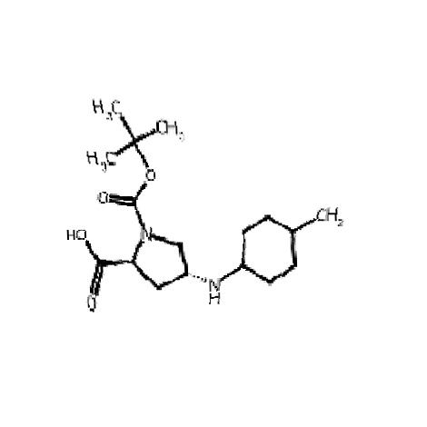 CC1CCC(N[C@@H]2C[C@@H](C(=O)O)N(C(=O)OC(C)(C)C)C2)CC1